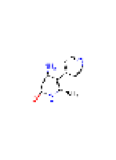 Cc1[nH]c(=O)cc(N)c1-c1ccncc1